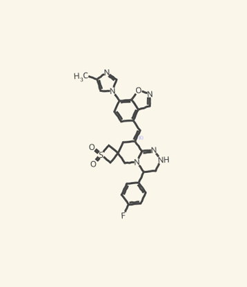 Cc1cn(-c2ccc(/C=C3\CC4(CN5C3=NNCC5c3ccc(F)cc3)CS(=O)(=O)C4)c3cnoc23)cn1